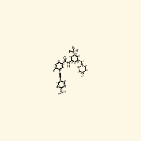 CNc1ncc(C#Cc2cc(C(=O)Nc3cc(CN4CCN(C)CC4)cc(C(F)(F)F)c3)ccc2C)cn1